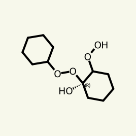 OOC1CCCC[C@@]1(O)OOC1CCCCC1